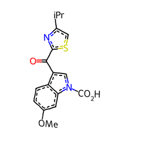 COc1ccc2c(C(=O)c3nc(C(C)C)cs3)cn(C(=O)O)c2c1